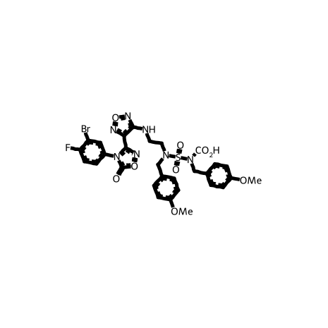 COc1ccc(CN(CCNc2nonc2-c2noc(=O)n2-c2ccc(F)c(Br)c2)S(=O)(=O)N(Cc2ccc(OC)cc2)C(=O)O)cc1